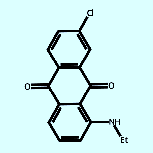 CCNc1cccc2c1C(=O)c1cc(Cl)ccc1C2=O